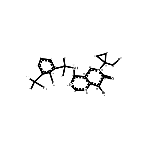 CC(F)(F)c1cccc(C(C)(C)Nc2ncnc3c(Br)c(=O)n(C4(CF)CC4)cc23)c1F